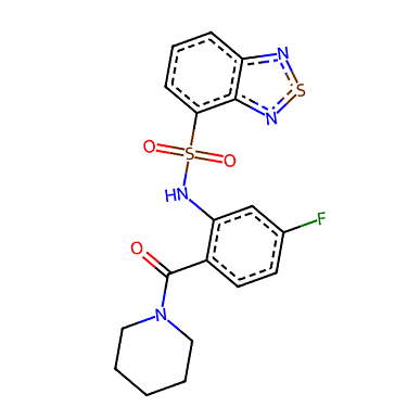 O=C(c1ccc(F)cc1NS(=O)(=O)c1cccc2nsnc12)N1CCCCC1